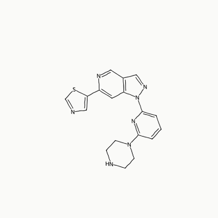 c1cc(N2CCNCC2)nc(-n2ncc3cnc(-c4cncs4)cc32)c1